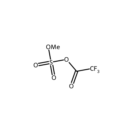 COS(=O)(=O)OC(=O)C(F)(F)F